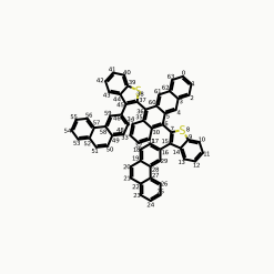 c1ccc2cc3c(-c4sc5ccccc5c4-c4ccc5ccc6ccccc6c5c4)c4ccccc4c(-c4sc5ccccc5c4-c4ccc5ccc6ccccc6c5c4)c3cc2c1